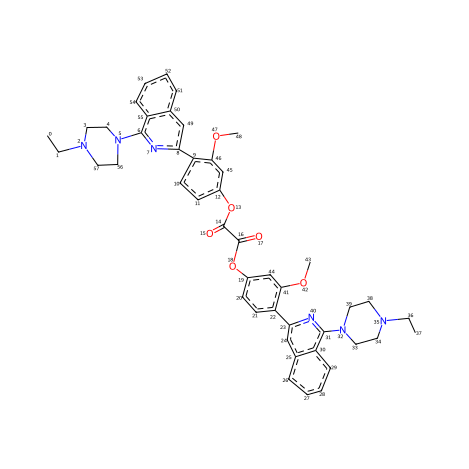 CCN1CCN(c2nc(-c3ccc(OC(=O)C(=O)Oc4ccc(-c5cc6ccccc6c(N6CCN(CC)CC6)n5)c(OC)c4)cc3OC)cc3ccccc23)CC1